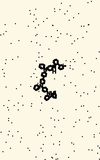 Cc1cccc(-c2ccccc2Nc2ccc(N(c3ccccc3)c3ccc(-c4ccc(N(c5ccccc5)c5ccc(Nc6ccccc6-c6cccc(C)c6)cc5)cc4)cc3)cc2)c1